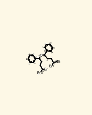 CCC(Br)CCC(OC(CCC(Br)CC)c1ccccc1)c1ccccc1